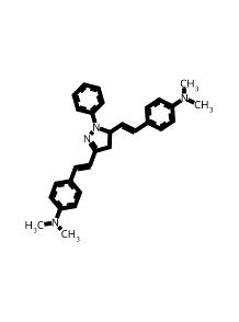 CN(C)c1ccc(C=CC2=NN(c3ccccc3)C(C=Cc3ccc(N(C)C)cc3)C2)cc1